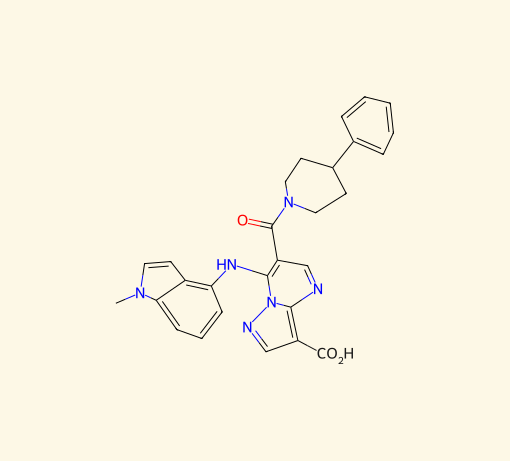 Cn1ccc2c(Nc3c(C(=O)N4CCC(c5ccccc5)CC4)cnc4c(C(=O)O)cnn34)cccc21